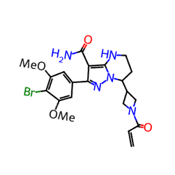 C=CC(=O)N1CC(C2CCNc3c(C(N)=O)c(-c4cc(OC)c(Br)c(OC)c4)nn32)C1